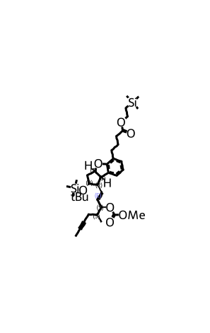 CC#CC[C@H](C)[C@@H](/C=C/[C@@H]1[C@H]2c3cccc(CCCC(=O)OCC[Si](C)(C)C)c3O[C@H]2C[C@H]1O[Si](C)(C)C(C)(C)C)OC(=O)OC